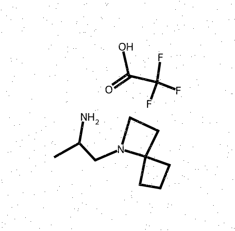 CC(N)CN1CCC12CCC2.O=C(O)C(F)(F)F